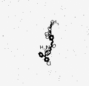 COCCOCOc1ccc(C=CC(=O)C(N)CN2CCN(C(c3ccccc3)c3ccc(Cl)cc3)CC2)cc1OC